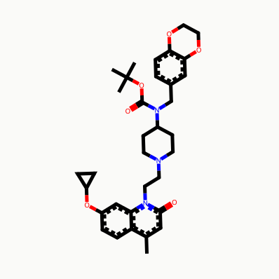 Cc1cc(=O)n(CCN2CCC(N(Cc3ccc4c(c3)OCCO4)C(=O)OC(C)(C)C)CC2)c2cc(OC3CC3)ccc12